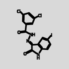 O=C1Nc2ccc(I)cc2/C1=N\NC(=O)c1cc(Cl)cc(Cl)c1